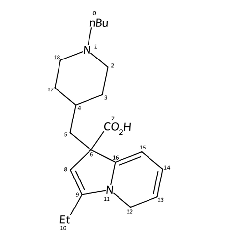 CCCCN1CCC(CC2(C(=O)O)C=C(CC)N3CC=CC=C32)CC1